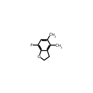 Cc1cc(F)c2c(c1C)CCO2